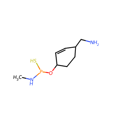 CNP(S)OC1C=CC(CN)CC1